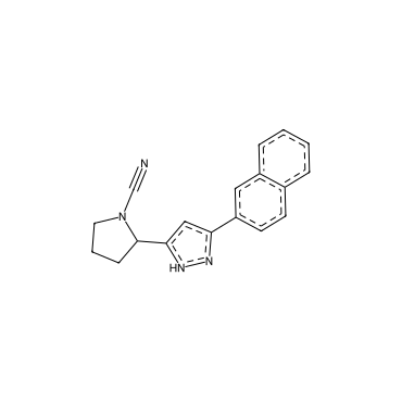 N#CN1CCCC1c1cc(-c2ccc3ccccc3c2)n[nH]1